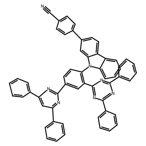 N#Cc1ccc(-c2ccc3c4ccccc4n(-c4ccc(-c5nc(-c6ccccc6)cc(-c6ccccc6)n5)cc4-c4nc(-c5ccccc5)nc(-c5ccccc5)n4)c3c2)cc1